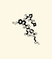 CCCCOC(=O)N1CCN(C(=O)[C@H](CCC(=O)O)NC(=O)c2cc(OCC(=O)N3CCC[C@H]3C(=O)NCC3CCC3)c3ccc(C)cc3n2)CC1